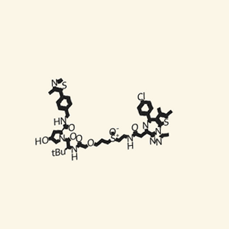 Cc1ncsc1-c1ccc(CNC(=O)[C@@H]2CC(O)CN2C(=O)[C@@H](NC(=O)COCCC[S+]([O-])CCNC(=O)CC2N=C(c3ccc(Cl)cc3)c3c(sc(C)c3C)-n3c(C)nnc32)C(C)(C)C)cc1